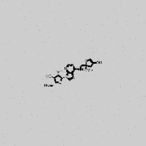 COC1(CNc2ncnc3c2ncn3[C@@H]2O[C@H](CO)[C@@H](O)[C@@H]2O)CC(O)=CO1